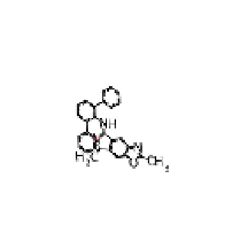 C=C1N=C(Nc2c(-c3ccccc3)cccc2-c2ccccc2)c2cc3nc(C)oc3cc21